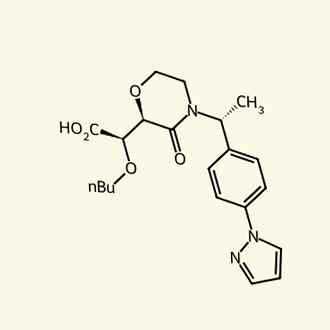 CCCCO[C@@H](C(=O)O)[C@H]1OCCN([C@H](C)c2ccc(-n3cccn3)cc2)C1=O